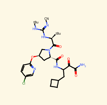 CC(C)(C)N/C(=N\C#N)N[C@H](C(=O)N1C[C@H](Oc2ccc(Cl)cn2)C[C@H]1C(=O)NC(CC1CCC1)C(=O)C(N)=O)C(C)(C)C